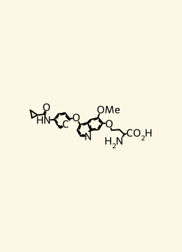 COc1cc2c(Oc3ccc(NC(=O)C4CC4)cc3)ccnc2cc1OCCC(N)C(=O)O